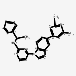 CC(Nc1nccc(-n2cnc3cc(-c4cc(N)nc(N)n4)ccc32)n1)c1ccccc1